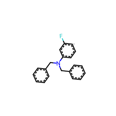 Fc1[c]ccc(N(Cc2ccccc2)Cc2ccccc2)c1